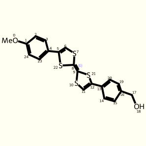 COc1ccc(C2=CS/C(=C3/SC=C(c4ccc(CO)cc4)S3)S2)cc1